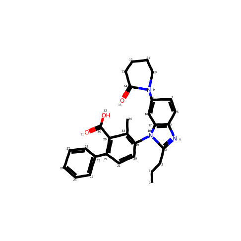 CCCc1nc2ccc(N3CCCCC3=O)cc2n1-c1ccc(-c2ccccc2)c(C(=O)O)c1C